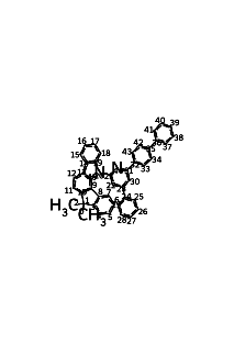 CC1(C)c2ccccc2-c2c1ccc1c3ccccc3n(-c3cc(-c4ccccc4)cc(-c4ccc(-c5ccccc5)cc4)n3)c21